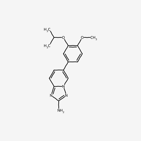 COc1ccc(-c2ccc3nc(N)nn3c2)cc1OC(C)C